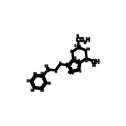 O=C(O)N1Cc2c(cnn2CCSc2ccccc2)C(O)C1